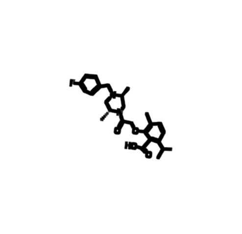 Cc1ccc(C(C)C)c(C(=O)O)c1OCC(=O)N1C[C@H](C)N(Cc2ccc(F)cc2)C[C@H]1C